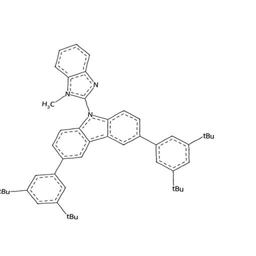 Cn1c(-n2c3ccc(-c4cc(C(C)(C)C)cc(C(C)(C)C)c4)cc3c3cc(-c4cc(C(C)(C)C)cc(C(C)(C)C)c4)ccc32)nc2ccccc21